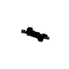 CC(C)(C)C(c1ccccc1OP1OCC2(CO1)COP(Oc1ccccc1C(C(C)(C)C)C(C)(C)C)OC2)C(C)(C)C